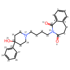 O=C1CCc2ccccc2C(=O)N1CCCCN1CCC(O)(c2ccccc2)CC1